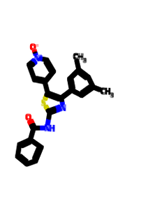 Cc1cc(C)cc(-c2nc(NC(=O)c3ccccc3)sc2-c2cc[n+]([O-])cc2)c1